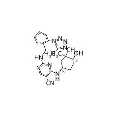 Cc1nnnn1-c1ccccc1CNc1ncc(C#N)c(N[C@@H]2CC[C@H](O)C(C)(C)C2)n1